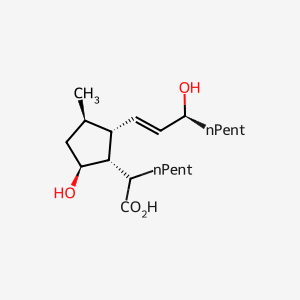 CCCCCC(C(=O)O)[C@H]1[C@@H](C=C[C@@H](O)CCCCC)[C@H](C)C[C@@H]1O